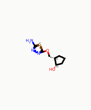 Nc1nnc(OC[C@@H]2CCC[C@@H]2O)s1